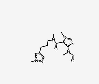 CN(CCCc1cnn(C)c1)C(=O)c1c(N(C)C=O)ncn1C